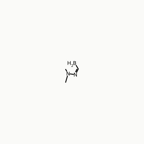 B/C=N\N(C)C